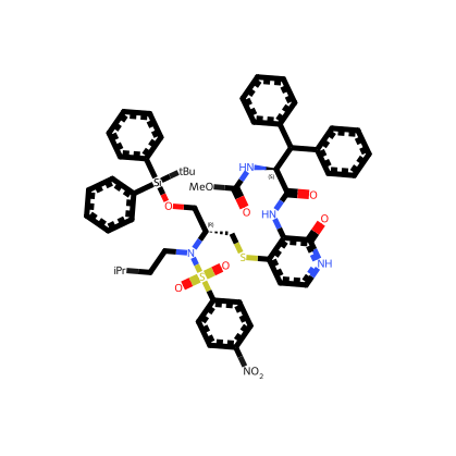 COC(=O)N[C@H](C(=O)Nc1c(SC[C@@H](CO[Si](c2ccccc2)(c2ccccc2)C(C)(C)C)N(CCC(C)C)S(=O)(=O)c2ccc([N+](=O)[O-])cc2)cc[nH]c1=O)C(c1ccccc1)c1ccccc1